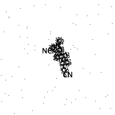 N#Cc1ccc(-c2ccc(-c3c4ccccc4c(-c4ccc5c6c4ccc4c(C#N)ccc(c46)n5-c4ccccc4)c4ccccc34)c3ccccc23)cc1